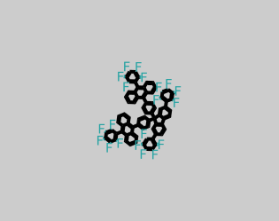 Fc1c(F)c(F)c(-c2ccc3c(c2)C(c2ccc(-c4c5ccccc5c(-c5c(F)c(F)c(F)c(F)c5F)c5ccccc45)cc2)(c2ccc(-c4c5ccccc5c(-c5c(F)c(F)c(F)c(F)c5F)c5ccccc45)cc2)c2cc(-c4c(F)c(F)c(F)c(F)c4F)ccc2-3)c(F)c1F